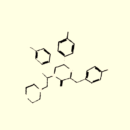 CCCC(CN1CCOCC1)N1C(=O)C(Cc2ccc(F)cc2)O[C@@H](c2ccc(Cl)cc2)[C@H]1c1ccc(Cl)cc1